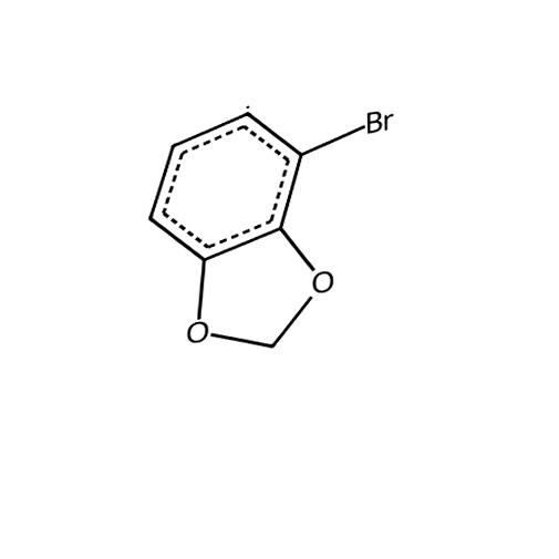 Brc1[c]ccc2c1OCO2